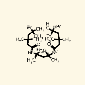 CCCC(C)(CC)CC(C)(C)CC(=O)NC(C)(C)CC(C)(C)NC(=O)CC(C)(C)CC(C)(C)C(C)C